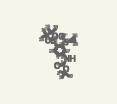 CC(C)(C)OC(=O)Nc1ccc(B2OC(C)(C)C(C)(C)O2)c([S+]([O-])C2CC2)c1